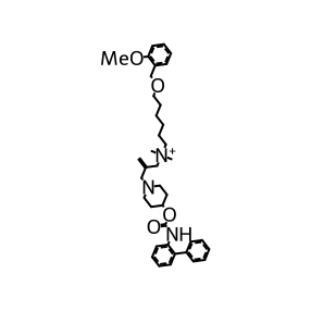 C=C(CN1CCC(OC(=O)Nc2ccccc2-c2ccccc2)CC1)C[N+](C)(C)CCCCCCOCc1ccccc1OC